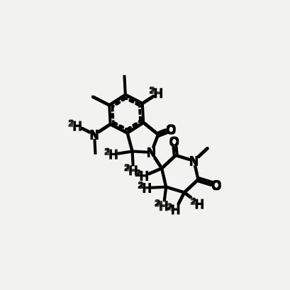 [2H]c1c(C)c(C)c(N([2H])C)c2c1C(=O)N(C1([2H])C(=O)N(C)C(=O)C([2H])([2H])C1([2H])[2H])C2([2H])[2H]